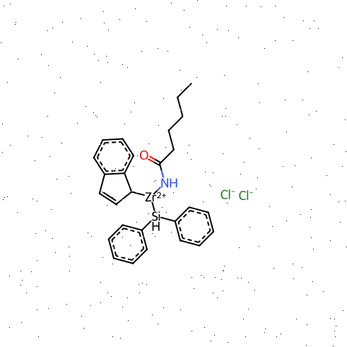 CCCCCC(=O)[NH][Zr+2]([CH]1C=Cc2ccccc21)[SiH](c1ccccc1)c1ccccc1.[Cl-].[Cl-]